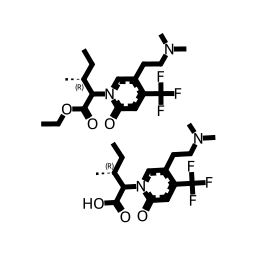 CCOC(=O)C([C@H](C)CC)n1cc(CCN(C)C)c(C(F)(F)F)cc1=O.CC[C@@H](C)C(C(=O)O)n1cc(CCN(C)C)c(C(F)(F)F)cc1=O